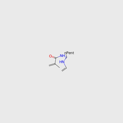 C=C(C)C(N)=O.C=CNCCCCCC